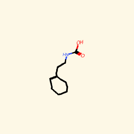 O=C(O)NCCC1CCCCC1